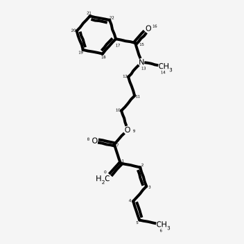 C=C(/C=C\C=C/C)C(=O)OCCCN(C)C(=O)c1ccccc1